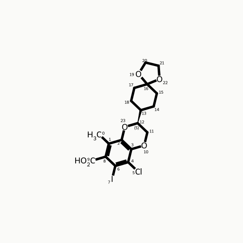 Cc1c2c(c(Cl)c(I)c1C(=O)O)OC[C@H](C1CCC3(CC1)OCCO3)O2